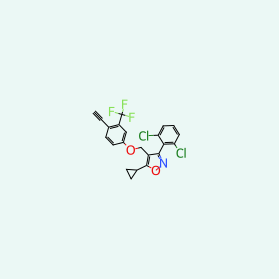 C#Cc1ccc(OCc2c(-c3c(Cl)cccc3Cl)noc2C2CC2)cc1C(F)(F)F